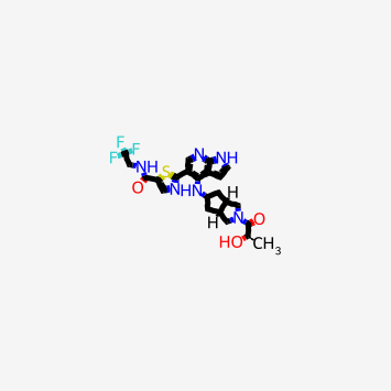 C[C@H](O)C(=O)N1C[C@H]2CC(Nc3c(-c4ncc(C(=O)NCC(F)(F)F)s4)cnc4[nH]ccc34)C[C@H]2C1